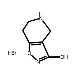 Br.Oc1noc2c1CNCC2